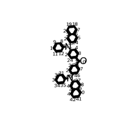 O=C(c1ccc(N(c2ccccc2)c2ccc3ccccc3c2)cc1)c1ccc(N(c2ccccc2)c2ccc3ccccc3c2)cc1